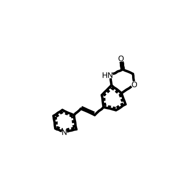 O=C1COc2ccc(C=Cc3cccnc3)cc2N1